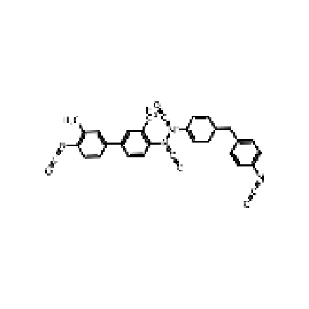 Cc1cc(-c2ccc([N+](=C=O)[N+](=C=O)C3=CCC(Cc4ccc(N=C=O)cc4)C=C3)c(C)c2)ccc1N=C=O